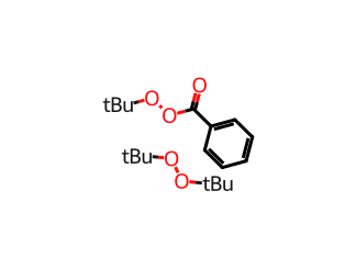 CC(C)(C)OOC(=O)c1ccccc1.CC(C)(C)OOC(C)(C)C